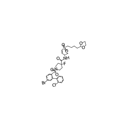 C[C@H](/C=C\S(=O)(=O)CCCCC1OCCO1)NC(=O)C1(F)CCN(S(=O)(=O)c2ccc(Br)cc2-c2ccccc2Cl)CC1